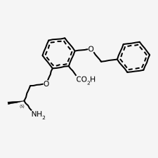 C[C@H](N)COc1cccc(OCc2ccccc2)c1C(=O)O